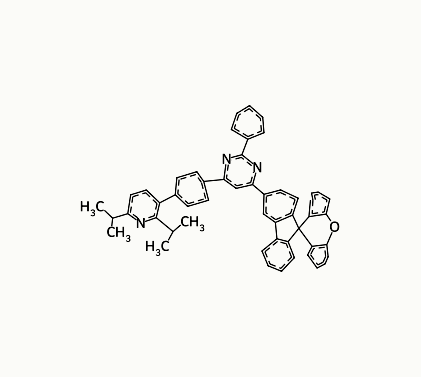 CC(C)c1ccc(-c2ccc(-c3cc(-c4ccc5c(c4)-c4ccccc4C54c5ccccc5Oc5ccccc54)nc(-c4ccccc4)n3)cc2)c(C(C)C)n1